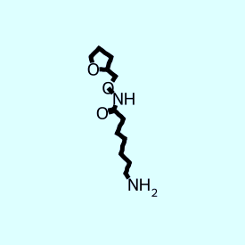 NCCCCCCC(=O)NOCC1CCCO1